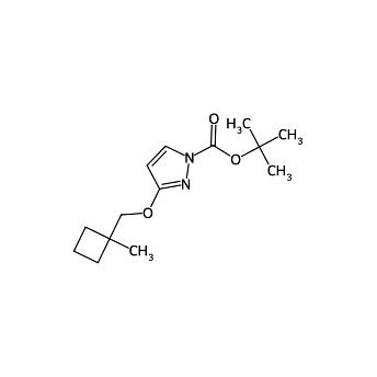 CC1(COc2ccn(C(=O)OC(C)(C)C)n2)CCC1